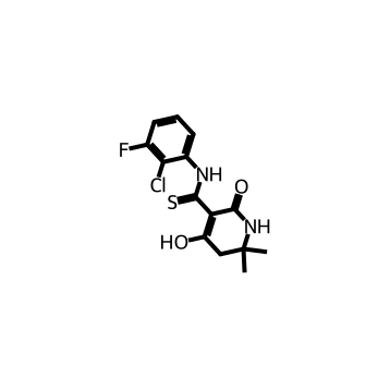 CC1(C)CC(O)=C(C(=S)Nc2cccc(F)c2Cl)C(=O)N1